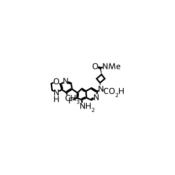 CNC(=O)[C@H]1C[C@H](N(C(=O)O)c2cc3cc(-c4cnc5c(c4C)NCCO5)c(F)c(N)c3cn2)C1